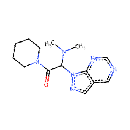 CN(C)C(C(=O)N1CCCCC1)n1ncc2cncnc21